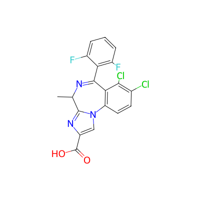 CC1N=C(c2c(F)cccc2F)c2c(ccc(Cl)c2Cl)-n2cc(C(=O)O)nc21